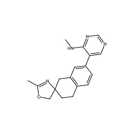 CNc1ncncc1-c1ccc2c(c1)CC1(CC2)COC(C)=N1